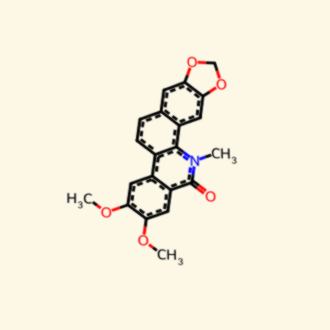 COc1cc2c(=O)n(C)c3c4cc5c(cc4ccc3c2cc1OC)OCO5